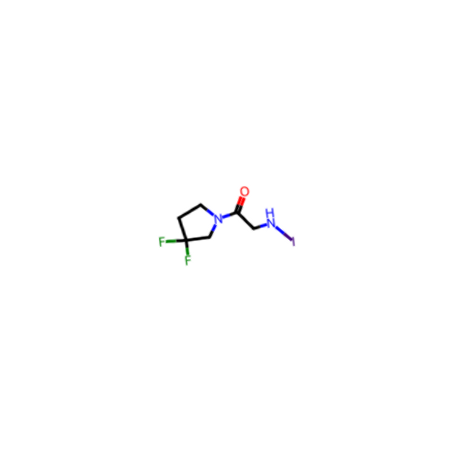 O=C(CNI)N1CCC(F)(F)C1